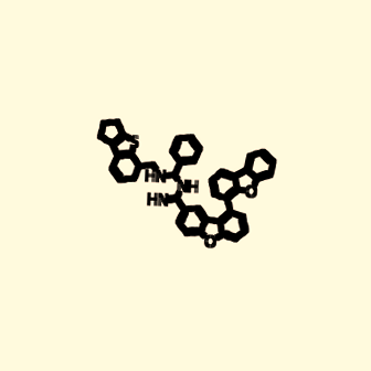 N=C(NC(NCC1CC=Cc2c1sc1c2CCC1)c1ccccc1)c1ccc2oc3cccc(-c4cccc5c4oc4ccccc45)c3c2c1